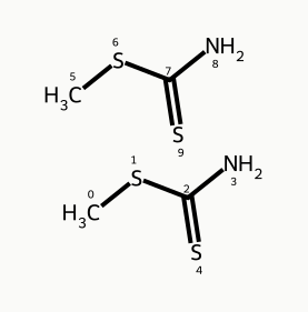 CSC(N)=S.CSC(N)=S